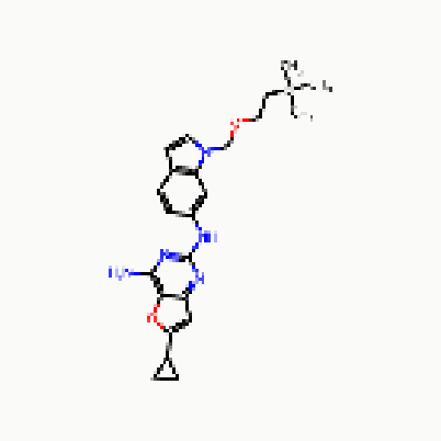 C[Si](C)(C)CCOCn1ccc2ccc(Nc3nc(N)c4oc(C5CC5)cc4n3)cc21